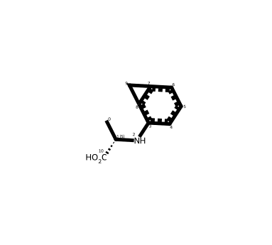 C[C@H](Nc1cccc2c1C2)C(=O)O